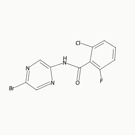 O=C(Nc1cnc(Br)cn1)c1c(F)cccc1Cl